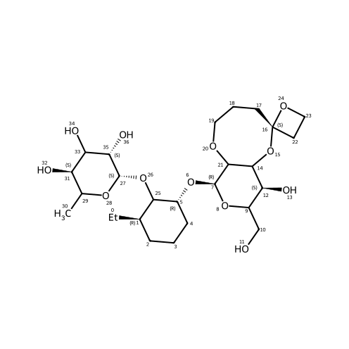 CC[C@@H]1CCC[C@@H](O[C@@H]2OC(CO)[C@H](O)C3O[C@@]4(CCCOC32)CCO4)C1O[C@@H]1OC(C)[C@@H](O)C(O)[C@@H]1O